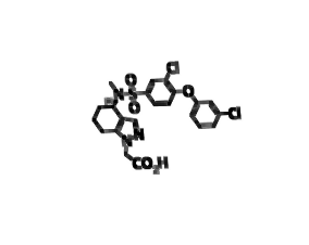 CN([C@@H]1CCCc2c1cnn2CC(=O)O)S(=O)(=O)c1ccc(Oc2cccc(Cl)c2)c(Cl)c1